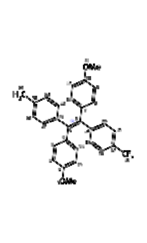 COc1ccc(/C(=C(/c2ccc(OC)cc2)c2ccc(C(F)(F)F)cc2)c2ccc(C)cc2)cc1